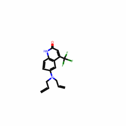 C=CCN(CC=C)c1ccc2[nH]c(=O)cc(C(F)(F)F)c2c1